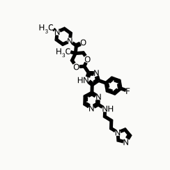 CN1CCN(C(=O)C2(C)COC(c3nc(-c4ccc(F)cc4)c(-c4ccnc(NCCCN5CC=NC5)n4)[nH]3)OC2)CC1